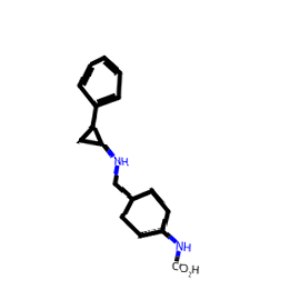 O=C(O)NC1CCC(CNC2CC2c2ccccc2)CC1